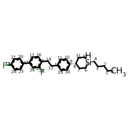 CCCCC[Si@H]1CC[C@H](c2ccc(CCc3ccc(-c4ccc(F)cc4)cc3F)cc2)CC1